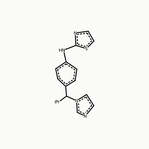 CC(C)C(c1ccc(Nc2nccs2)cc1)n1ccnc1